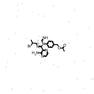 CC(=O)OCc1ccc(N(C=N)/C(=N\[C@@H](C)C(C)Br)c2nccnc2N)cc1